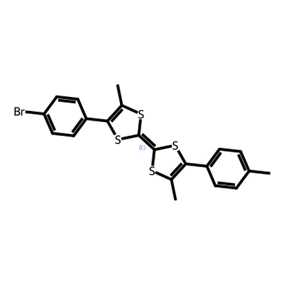 CC1=C(c2ccc(C)cc2)S/C(=C2\SC(C)=C(c3ccc(Br)cc3)S2)S1